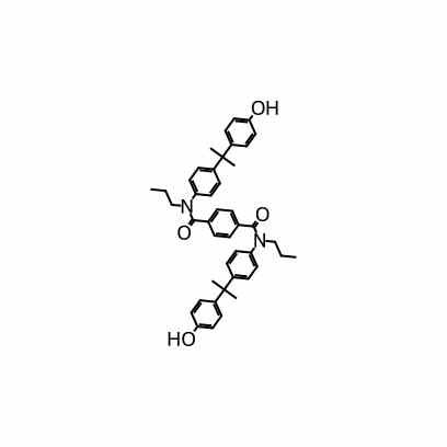 CCCN(C(=O)c1ccc(C(=O)N(CCC)c2ccc(C(C)(C)c3ccc(O)cc3)cc2)cc1)c1ccc(C(C)(C)c2ccc(O)cc2)cc1